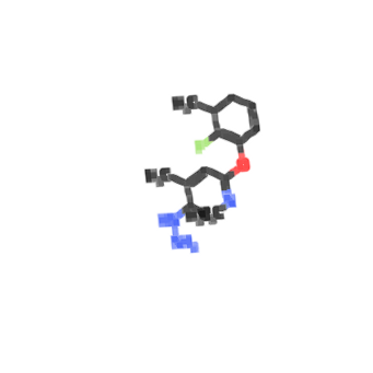 C/N=C(\C=C(\C)C(C)NN)OC1=C(F)C(C)CC=C1